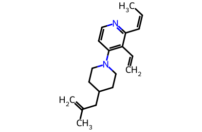 C=Cc1c(N2CCC(CC(=C)C)CC2)ccnc1/C=C\C